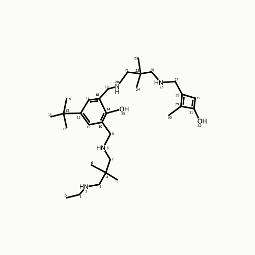 CCNCC(C)(C)CNCc1cc(C(C)(C)C)cc(CNCC(C)(C)CNCC2=C(C)C(O)=C2)c1O